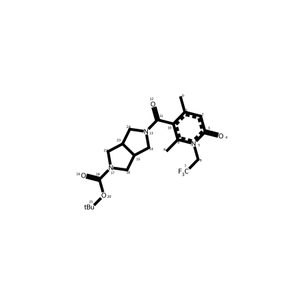 Cc1cc(=O)n(CC(F)(F)F)c(C)c1C(=O)N1CC2CN(C(=O)OC(C)(C)C)CC2C1